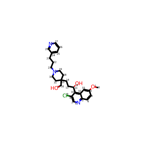 COc1ccc2ncc(Cl)c([C@H](O)CCC3(CO)CCN(CCCc4cccnc4)CC3)c2c1